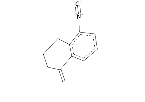 [C-]#[N+]c1cccc2c1CCCC2=C